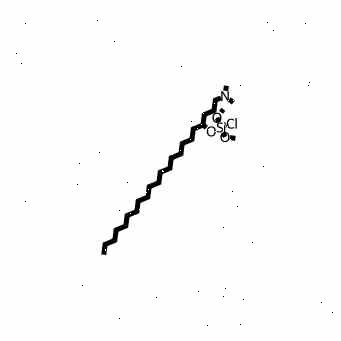 CCCCCCCCCCCCCCCCCCC(CCCN(C)C)O[Si](Cl)(OC)OC